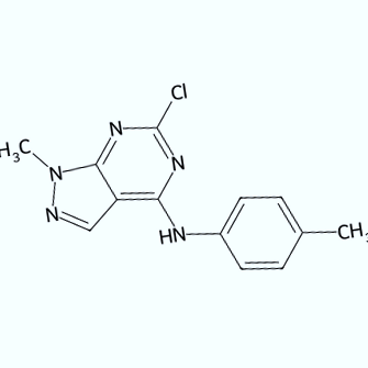 Cc1ccc(Nc2nc(Cl)nc3c2cnn3C)cc1